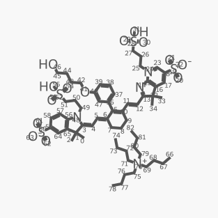 CC1(C)C(=CC=C2CCCC(C=CC3=Nc4c(cc(S(=O)(=O)[O-])c[n+]4CCCS(=O)(=O)O)C3(C)C)=C2c2cccc(OCCCCO)c2)N(CCCS(=O)(=O)O)c2ccc(S(=O)(=O)[O-])cc21.CCCC[N+](CCCC)(CCCC)CCCC